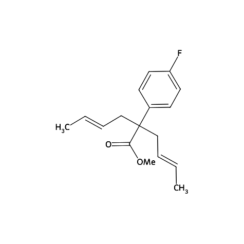 CC=CCC(CC=CC)(C(=O)OC)c1ccc(F)cc1